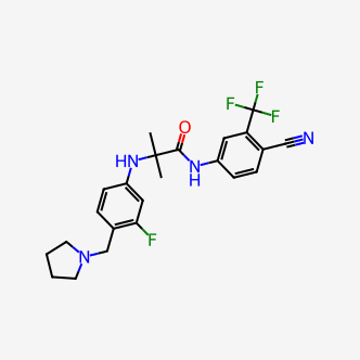 CC(C)(Nc1ccc(CN2CCCC2)c(F)c1)C(=O)Nc1ccc(C#N)c(C(F)(F)F)c1